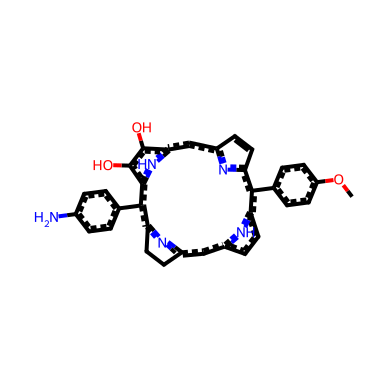 COc1ccc(-c2c3nc(cc4[nH]c(c(O)c4O)c(-c4ccc(N)cc4)c4nc(cc5ccc2[nH]5)CC4)C=C3)cc1